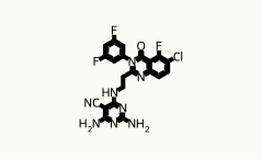 N#Cc1c(N)nc(N)nc1NCCc1nc2ccc(Cl)c(F)c2c(=O)n1-c1cc(F)cc(F)c1